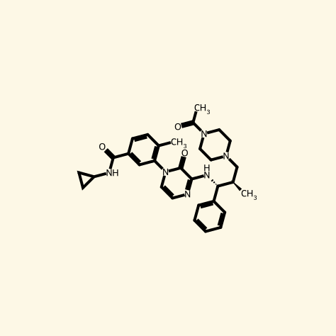 CC(=O)N1CCN(C[C@@H](C)[C@@H](Nc2nccn(-c3cc(C(=O)NC4CC4)ccc3C)c2=O)c2ccccc2)CC1